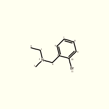 CCN(C)Cc1ccccc1Br